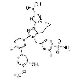 COc1ccc(-c2cc(-c3nn(-c4nc(C(=O)O)cs4)c(CC4CC4)c3Cc3ccc(S(N)(=O)=O)c(F)c3)ccc2F)cc1C